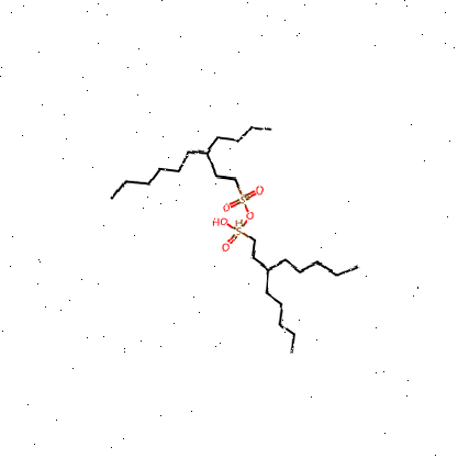 CCCCCCC(CCCC)CCS(=O)(=O)O[SH](=O)(O)CCC(CCCCC)CCCCC